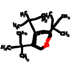 CC(C)(C)c1coc(C(C)(C)C)c1C(C)(C)C